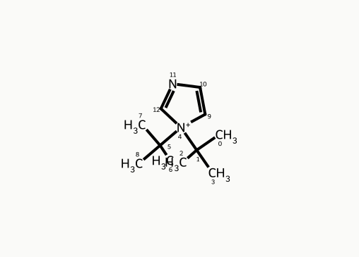 CC(C)(C)[N+]1(C(C)(C)C)C=CN=C1